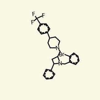 FC(F)(F)c1ccc(C2CCN(CC3CC(c4ccccc4)N3Cc3ccccc3Br)CC2)cc1